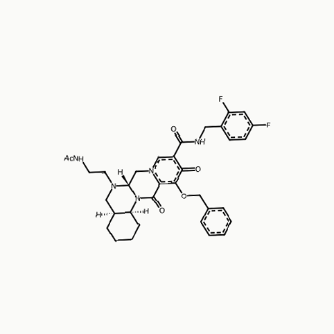 CC(=O)NCCN1C[C@@H]2CCCC[C@@H]2N2C(=O)c3c(OCc4ccccc4)c(=O)c(C(=O)NCc4ccc(F)cc4F)cn3C[C@@H]12